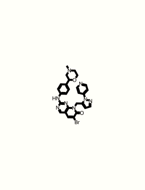 CN1CCOC(c2ccc(Nc3ncc4cc(Br)c(=O)n(Cc5ccnn5-c5ccncc5)c4n3)cc2)C1